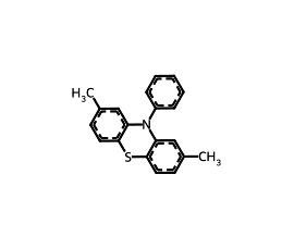 Cc1ccc2c(c1)N(c1ccccc1)c1cc(C)ccc1S2